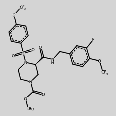 CC(C)(C)OC(=O)N1CCN(S(=O)(=O)c2ccc(OC(F)(F)F)cc2)[C@@H](C(=O)NCc2ccc(OC(F)(F)F)c(F)c2)C1